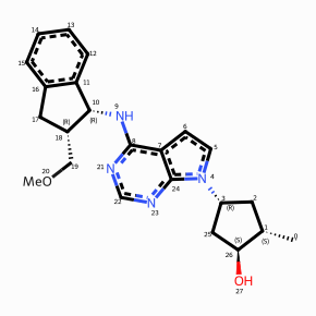 [CH2][C@H]1C[C@@H](n2ccc3c(N[C@H]4c5ccccc5C[C@H]4COC)ncnc32)C[C@@H]1O